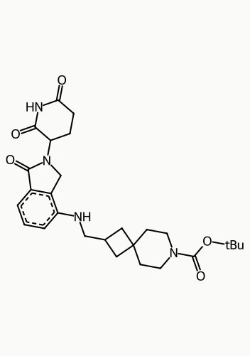 CC(C)(C)OC(=O)N1CCC2(CC1)CC(CNc1cccc3c1CN(C1CCC(=O)NC1=O)C3=O)C2